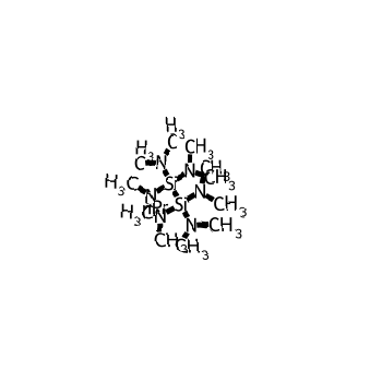 CCCN(C)[Si](N(C)C)(N(C)C)[Si](N(C)C)(N(C)C)N(C)C